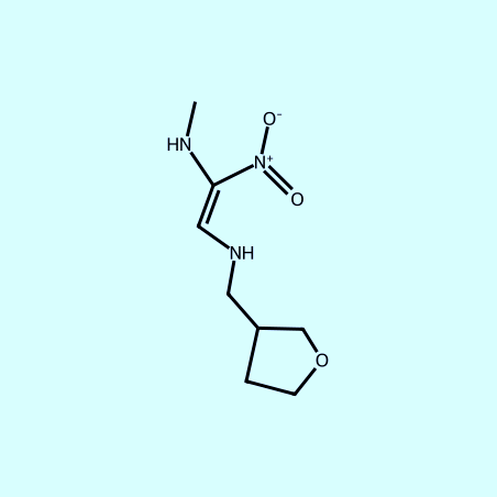 CNC(=CNCC1CCOC1)[N+](=O)[O-]